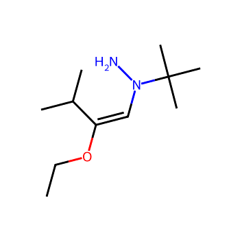 CCO/C(=C/N(N)C(C)(C)C)C(C)C